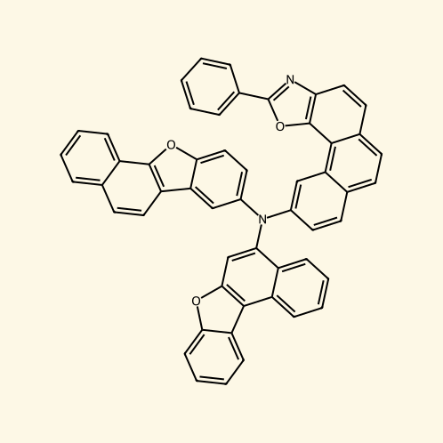 c1ccc(-c2nc3ccc4ccc5ccc(N(c6ccc7oc8c9ccccc9ccc8c7c6)c6cc7oc8ccccc8c7c7ccccc67)cc5c4c3o2)cc1